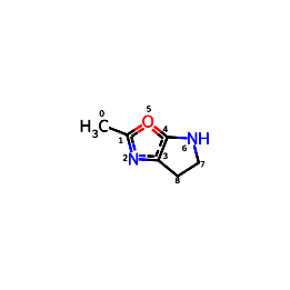 Cc1nc2c(o1)NCC2